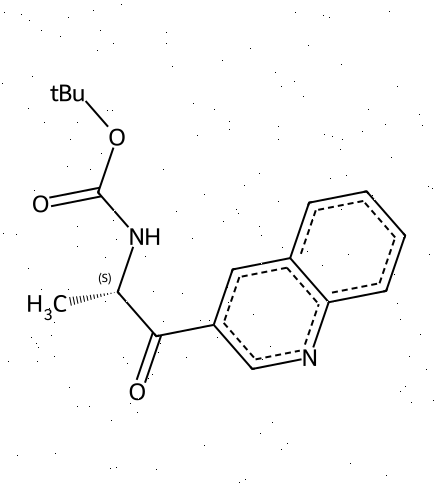 C[C@H](NC(=O)OC(C)(C)C)C(=O)c1cnc2ccccc2c1